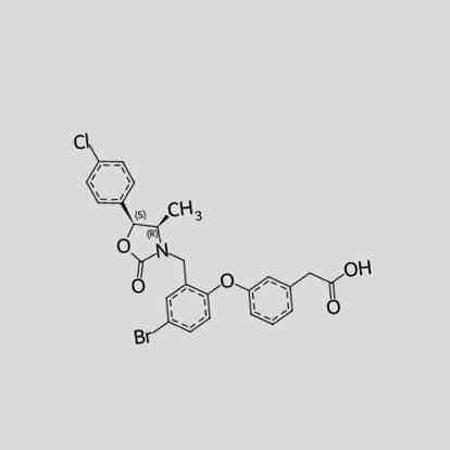 C[C@@H]1[C@H](c2ccc(Cl)cc2)OC(=O)N1Cc1cc(Br)ccc1Oc1cccc(CC(=O)O)c1